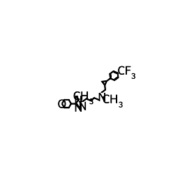 CN(CCCCc1nnc(C2CCOCC2)n1C)CCC1CC1c1ccc(C(F)(F)F)cc1